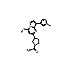 BC(=O)N1CCC(c2cc(OC)n3ncc(-c4cnn(C)c4)c3n2)C1